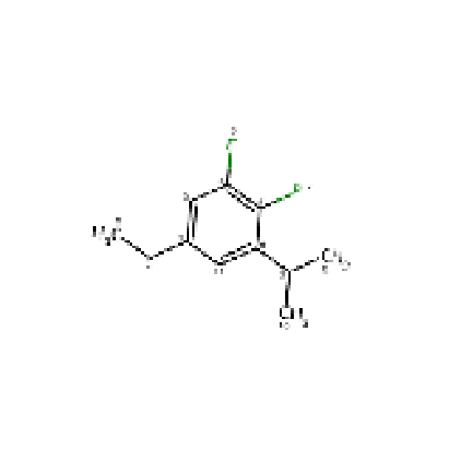 CCc1cc(F)c(F)c(C(C)C)c1